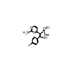 CCON1C(c2ccnc(N)n2)=C(c2ccc(F)cc2)NN1C